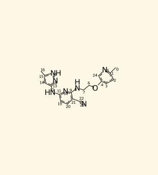 Cc1ccc(OCCNc2nc(Nc3cc(C)[nH]n3)ccc2C#N)cn1